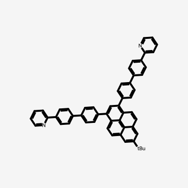 CC(C)(C)c1cc2ccc3c(-c4ccc(-c5ccc(-c6ccccn6)cc5)cc4)cc(-c4ccc(-c5ccc(-c6ccccn6)cc5)cc4)c4ccc(c1)c2c34